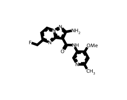 COc1cc(C)ncc1NC(=O)c1c(N)nn2ccc(CF)nc12